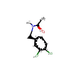 CCCC(=O)N(Cc1ccc(Cl)c(Cl)c1)C(C)CC